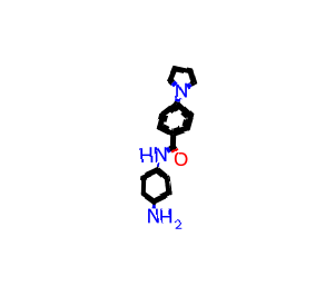 N[C@H]1CC[C@H](NC(=O)c2ccc(N3CCCC3)cc2)CC1